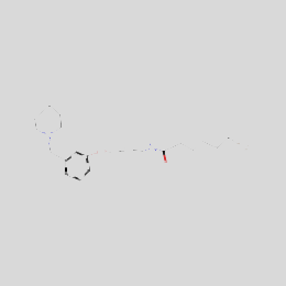 O=C(CCCCCBr)NCCCOc1cccc(CN2CCCCC2)c1